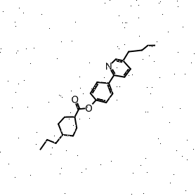 CCCCc1ccc(-c2ccc(OC(=O)C3CCC(CCC)CC3)cc2)nc1